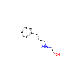 OCCNC[CH]Cc1ccccc1